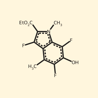 CCOC(=O)c1c(F)c2c(C)c(F)c(O)c(F)c2n1C